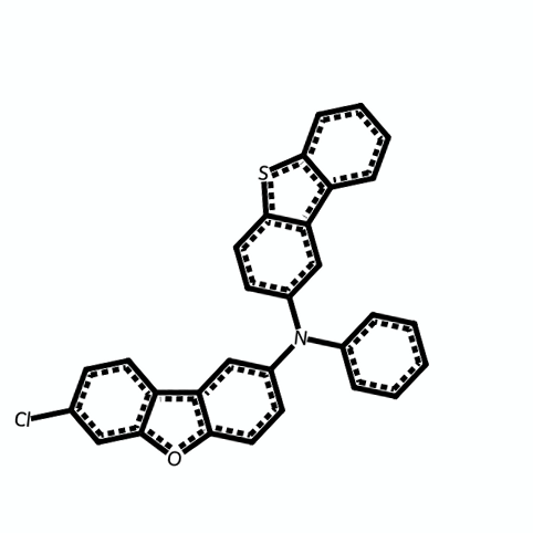 Clc1ccc2c(c1)oc1ccc(N(c3ccccc3)c3ccc4sc5ccccc5c4c3)cc12